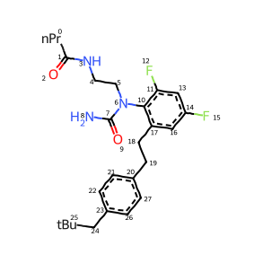 CCCC(=O)NCCN(C(N)=O)c1c(F)cc(F)cc1CCc1ccc(CC(C)(C)C)cc1